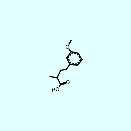 COc1cccc(CCC(C)C(=O)O)c1